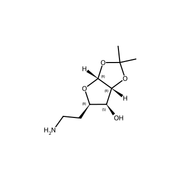 CC1(C)O[C@H]2O[C@H](CCN)[C@H](O)[C@H]2O1